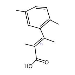 C/C(C(=O)O)=C(/C)c1cc(C)ccc1C